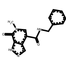 Cn1cc(C(=O)NCc2ccccc2)c2cn[nH]c2c1=O